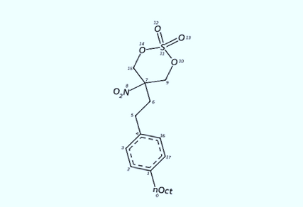 CCCCCCCCc1ccc(CCC2([N+](=O)[O-])COS(=O)(=O)OC2)cc1